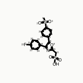 CS(=O)(=O)c1ccc(-c2oc(CS(=O)(=O)O)nc2-c2ccc(F)cc2)cc1